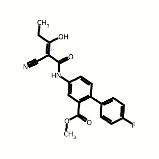 CC/C(O)=C(\C#N)C(=O)Nc1ccc(-c2ccc(F)cc2)c(C(=O)OC)c1